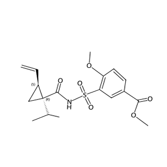 C=C[C@@H]1C[C@@]1(C(=O)NS(=O)(=O)c1cc(C(=O)OC)ccc1OC)C(C)C